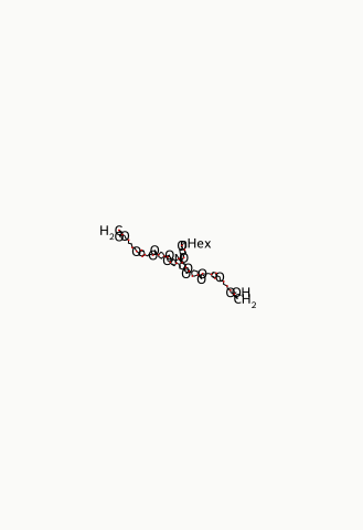 C=CC(=O)OCCCCCCOc1ccc(CCOC(=O)C2CCC(C(=O)Oc3ccc4c(c3)nc(Oc3ccc(OCCCCCC)cc3)c3cc(OC(=O)C5CCC(C(=O)OCCc6ccc(OCCCCCCOC(O)C=C)cc6)CC5)ccc34)CC2)cc1